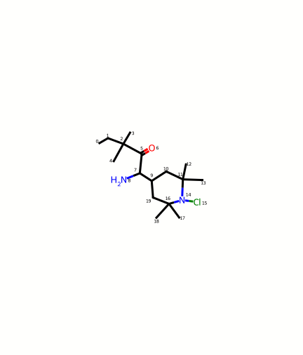 CCC(C)(C)C(=O)C(N)C1CC(C)(C)N(Cl)C(C)(C)C1